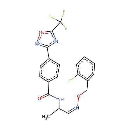 CC(/C=N\OCc1ccccc1F)NC(=O)c1ccc(-c2noc(C(F)(F)F)n2)cc1